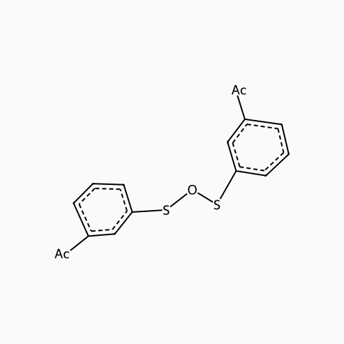 CC(=O)c1cccc(SOSc2cccc(C(C)=O)c2)c1